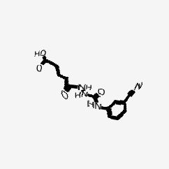 N#Cc1cccc(NC(=O)NNC(=O)CCCC(=O)O)c1